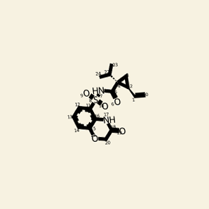 C=C[C@@H]1C[C@@]1(C(=O)NS(=O)(=O)c1cccc2c1NC(=O)CO2)C(C)C